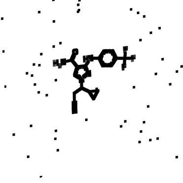 N#CCC(C1CC1)n1cc(C(N)=O)c(Nc2ccc(C(F)(F)F)cc2)n1